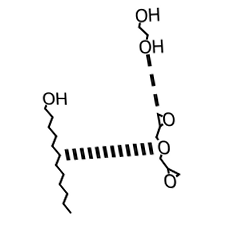 C(OCC1CO1)C1CO1.C=C.C=C.C=C.C=C.C=C.C=C.C=C.C=C.C=C.C=C.C=C.C=C.C=C.C=C.C=C.CCCCCCCCCCCCO.OCCO